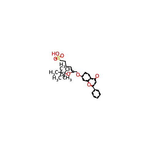 CC(C)(C)[Si](C)(C)OC(CCCCS(=O)(=O)O)COc1ccc2c(=O)cc(-c3ccccc3)oc2c1